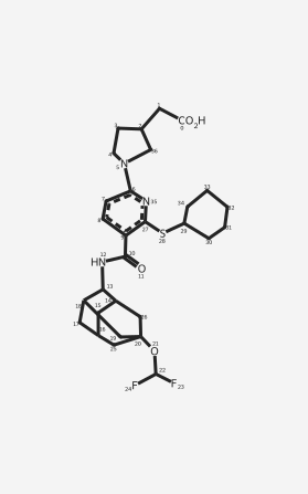 O=C(O)CC1CCN(c2ccc(C(=O)NC3C4CC5CC3CC(OC(F)F)(C5)C4)c(SC3CCCCC3)n2)C1